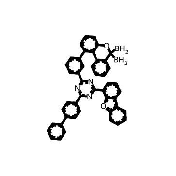 BC1(B)Oc2cccc(-c3cccc(-c4nc(-c5ccc(-c6ccccc6)cc5)nc(-c5cccc6c5oc5ccccc56)n4)c3)c2-c2ccccc21